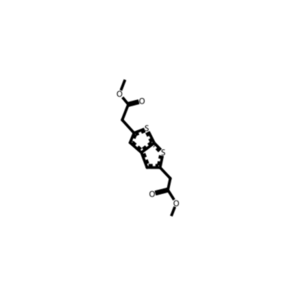 COC(=O)Cc1cc2cc(CC(=O)OC)sc2s1